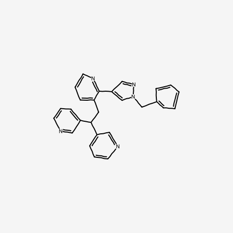 c1ccc(Cn2cc(-c3ncccc3CC(c3cccnc3)c3cccnc3)cn2)cc1